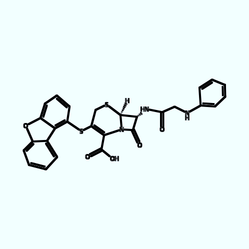 O=C(CNc1ccccc1)N[C@@H]1C(=O)N2C(C(=O)O)=C(Sc3cccc4oc5ccccc5c34)CS[C@@H]12